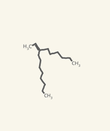 C/C=C(/CCCCCC)CCCCCCCC